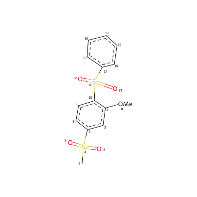 COc1cc(S(C)(=O)=O)ccc1S(=O)(=O)c1cc[c]cc1